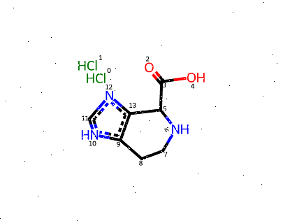 Cl.Cl.O=C(O)C1NCCc2[nH]cnc21